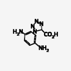 Nc1ccc(N)cc1.O=C(O)C1N=NN=N1